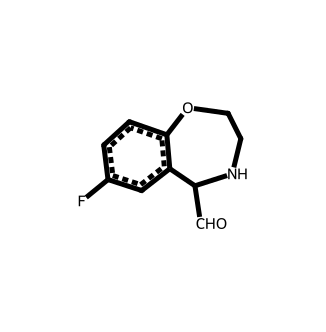 O=CC1NCCOc2ccc(F)cc21